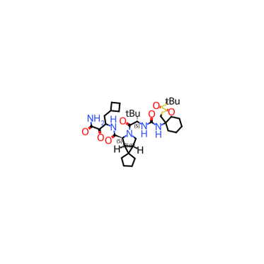 CC(C)(C)[C@H](NC(=O)NC1(CS(=O)(=O)C(C)(C)C)CCCCC1)C(=O)N1C[C@H]2[C@@H]([C@H]1C(=O)NC(CC1CCC1)C(=O)C(N)=O)C21CCCC1